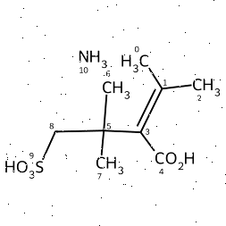 CC(C)=C(C(=O)O)C(C)(C)CS(=O)(=O)O.N